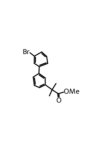 COC(=O)C(C)(C)c1cccc(-c2cccc(Br)c2)c1